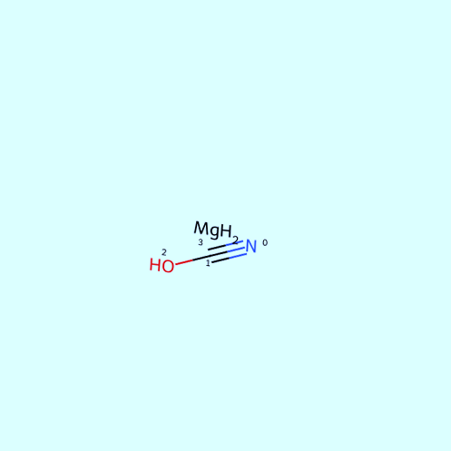 N#CO.[MgH2]